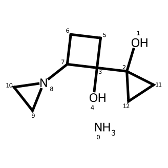 N.OC1(C2(O)CCC2N2CC2)CC1